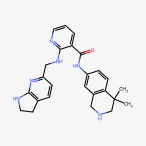 CC1(C)CNCc2cc(NC(=O)c3cccnc3NCc3ccc4c(n3)NCC4)ccc21